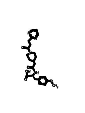 COc1ccc(C[C@H](NC(=O)CC2CCN(C(=O)CCc3ncccn3)CC2)C(=O)O)cc1